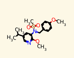 COc1ccc(CN(c2cc(C(C)C)cnc2OC)S(C)(=O)=O)cc1